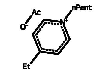 CC(=O)[O-].CCCCC[n+]1ccc(CC)cc1